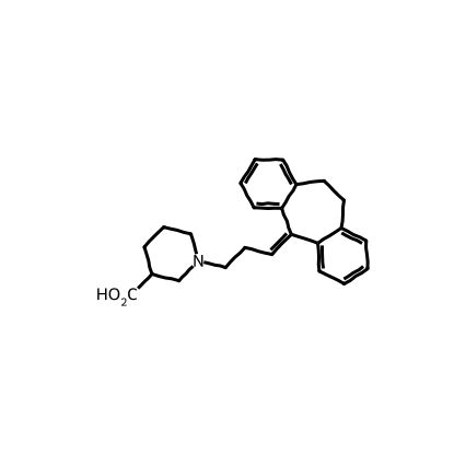 O=C(O)C1CCCN(CCC=C2c3ccccc3CCc3ccccc32)C1